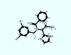 C[C@H](c1cc(F)cc(F)c1)N(C(=O)c1ccccc1)C(C(N)=O)c1ncc[nH]1